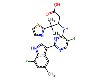 Cc1cc(F)c2[nH]cc(-c3ncc(F)c(NC(CC(=O)O)C(C)(C)c4nccs4)n3)c2c1